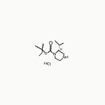 CC(C)[C@@H]1CNCCN1C(=O)OC(C)(C)C.Cl